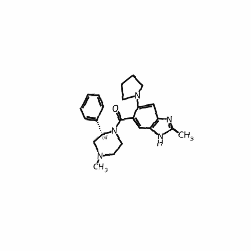 Cc1nc2cc(N3CCCC3)c(C(=O)N3CCN(C)C[C@@H]3c3ccccc3)cc2[nH]1